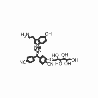 N#Cc1ccc(C(c2ccc(C#N)cc2)n2cncn2)cc1.NCCc1c[nH]c2ccc(O)cc12.OC[C@@H](O)[C@@H](O)[C@H](O)[C@@H](O)CO